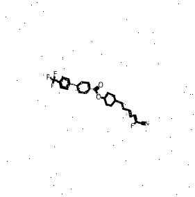 N#CC(F)=C/C=C/CCC1CCC(OC(=O)[C@H]2CC[C@H](c3ccc(C(F)(F)F)cc3)CC2)CC1